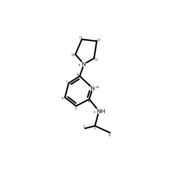 CC(C)Nc1cccc(N2CCCC2)n1